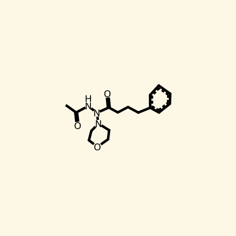 CC(=O)NN(C(=O)CCCc1ccccc1)N1CCOCC1